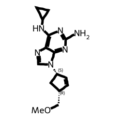 COC[C@H]1C=C[C@@H](n2cnc3c(NC4CC4)nc(N)nc32)C1